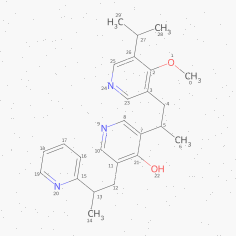 COc1c(CC(C)c2cncc(CC(C)c3ccccn3)c2O)cncc1C(C)C